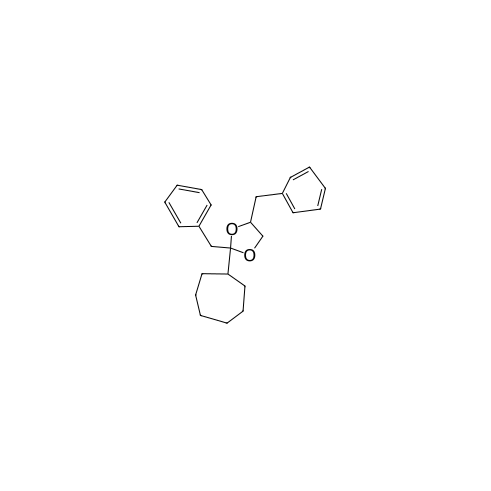 c1ccc(CC2COC(Cc3ccccc3)(C3CCCCCC3)O2)cc1